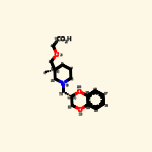 C[C@]1(COCC(=O)O)CCCN(C[C@H]2COc3ccccc3O2)C1